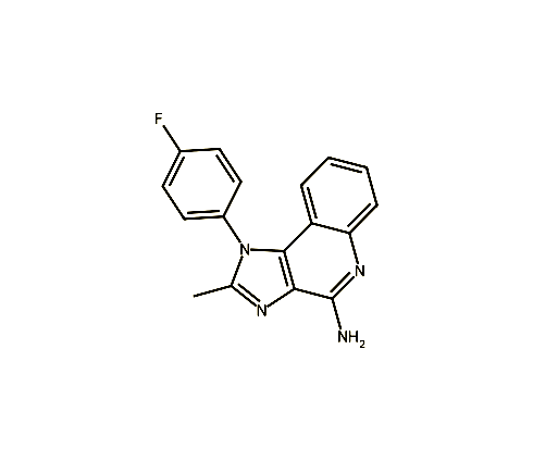 Cc1nc2c(N)nc3ccccc3c2n1-c1ccc(F)cc1